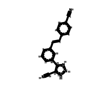 N#Cc1ccc(/C=C/c2cccc(-c3nn[nH]c3C#N)c2)cc1